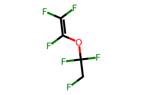 FCC(F)(F)OC(F)=C(F)F